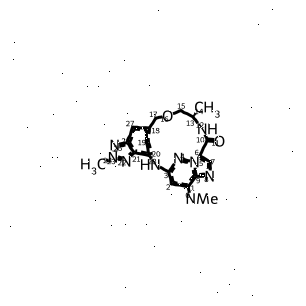 CNc1cc2nn3c(cnc13)C(=O)N[C@H](C)COCc1cc(c3nn(C)nc3c1)N2